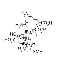 CC(C)CC(N)C(=O)O.CCC(C)C(N)C(=O)O.CSCCC(N)C(=O)O.NC(=O)CCC(N)C(=O)O.NCCCCC(N)C(=O)O